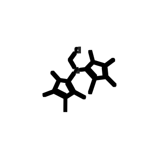 CC1=C(C)C(C)[C]([Zr]([CH2]Cl)[C]2=C(C)C(C)=C(C)C2C)=C1C